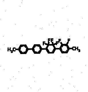 Cc1ccc(-c2ccc(C3=CC=C(c4ccc(C)c(F)c4F)C(F)(F)C3(F)F)cc2)cc1